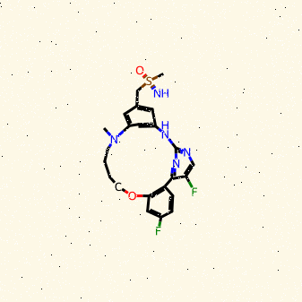 CN1CCCCOc2cc(F)ccc2-c2nc(ncc2F)Nc2cc(CS(C)(=N)=O)cc1c2